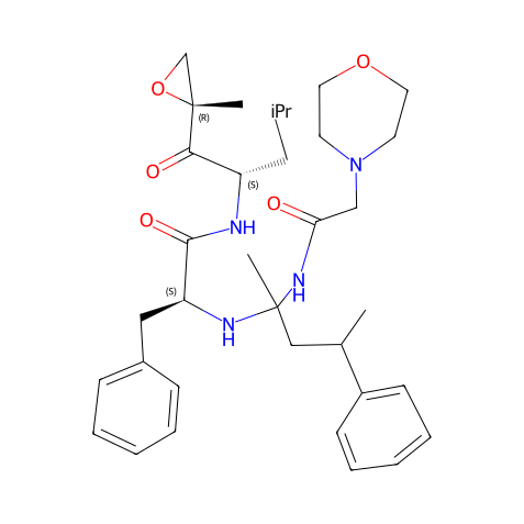 CC(C)C[C@H](NC(=O)[C@H](Cc1ccccc1)NC(C)(CC(C)c1ccccc1)NC(=O)CN1CCOCC1)C(=O)[C@@]1(C)CO1